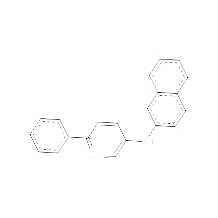 C=C(/C=C\C(=C/C)Nc1ccc2ccccc2c1)c1ccccc1